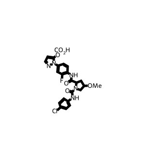 COC1CC(C(=O)Nc2ccc(-n3nccc3OC(=O)O)cc2F)N(C(=O)Nc2ccc(Cl)cc2)C1